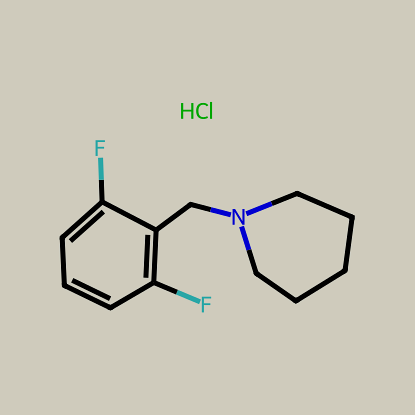 Cl.Fc1cccc(F)c1CN1CCCCC1